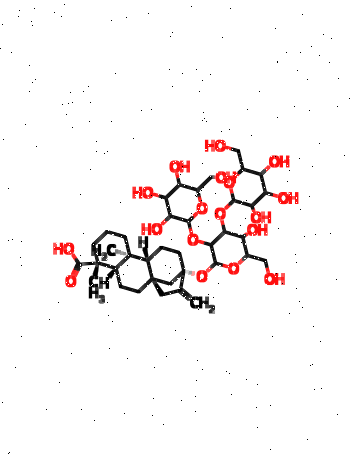 C=C1C[C@@]23CC[C@H]4[C@@](C)(CCC[C@@]4(C)C(=O)O)[C@@H]2CC[C@]1(OC1OC(CO)C(O)C(OC2OC(CO)C(O)C(O)C2O)C1OC1OC(CO)C(O)C(O)C1O)C3